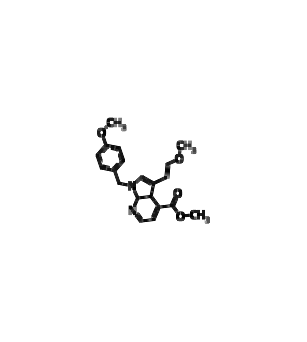 CO/C=C/C1=CN(Cc2ccc(OC)cc2)C2N=CC=C(C(=O)OC)C12